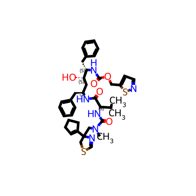 CC(C)[C@H](NC(=O)N(C)CC1(C2=CCCC2)CSC=N1)C(=O)N[C@@H](Cc1ccccc1)C[C@H](O)[C@H](Cc1ccccc1)NC(=O)OCc1ccns1